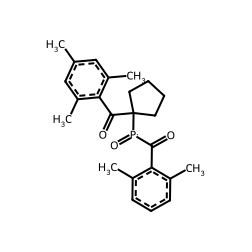 Cc1cc(C)c(C(=O)C2([P](=O)C(=O)c3c(C)cccc3C)CCCC2)c(C)c1